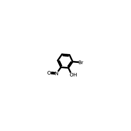 O=Nc1cccc(Br)c1O